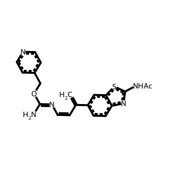 C=C(/C=C\N=C(/N)OCc1ccncc1)c1ccc2nc(NC(C)=O)sc2c1